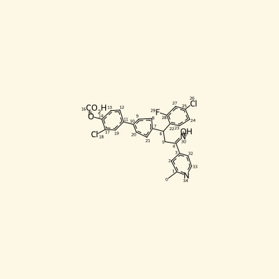 Cc1cc(/C(CC(c2ccc(-c3ccc(OC(=O)O)c(Cl)c3)cc2)c2ccc(Cl)cc2F)=N/O)ccn1